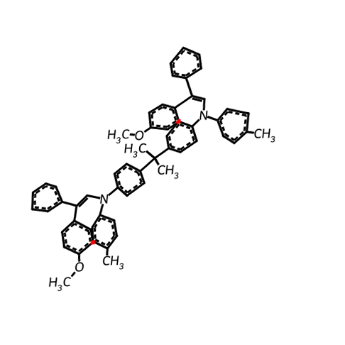 COc1ccc(/C(=C\N(c2ccc(C)cc2)c2ccc(C(C)(C)c3ccc(N(/C=C(/c4ccccc4)c4ccc(OC)cc4)c4ccc(C)cc4)cc3)cc2)c2ccccc2)cc1